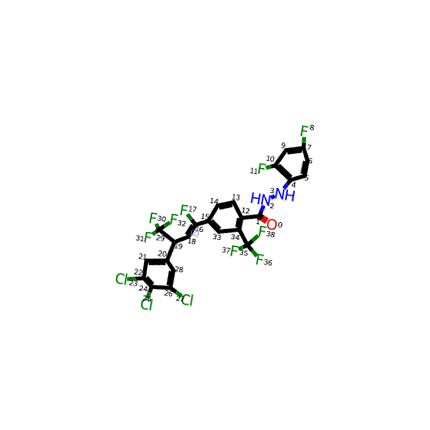 O=C(NNc1ccc(F)cc1F)c1ccc(/C(F)=C/C(c2cc(Cl)c(Cl)c(Cl)c2)C(F)(F)F)cc1C(F)(F)F